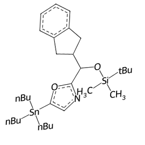 CCC[CH2][Sn]([CH2]CCC)([CH2]CCC)[c]1cnc(C(O[Si](C)(C)C(C)(C)C)C2Cc3ccccc3C2)o1